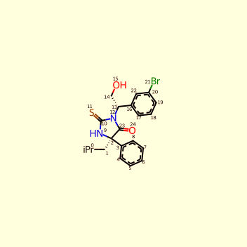 CC(C)C[C@]1(c2ccccc2)NC(=S)N([C@H](CO)c2cccc(Br)c2)C1=O